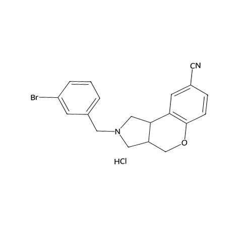 Cl.N#Cc1ccc2c(c1)C1CN(Cc3cccc(Br)c3)CC1CO2